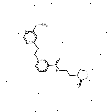 NCc1cc(OCc2cccc(C(=O)NCCN3CCOC3=O)c2)ncn1